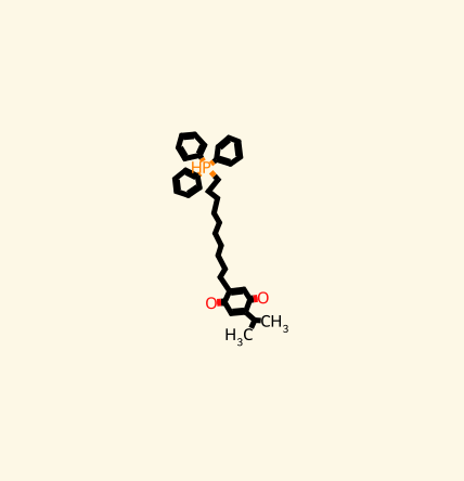 CC(C)C1=CC(=O)C(CCCCCCCCCC[PH](c2ccccc2)(c2ccccc2)c2ccccc2)=CC1=O